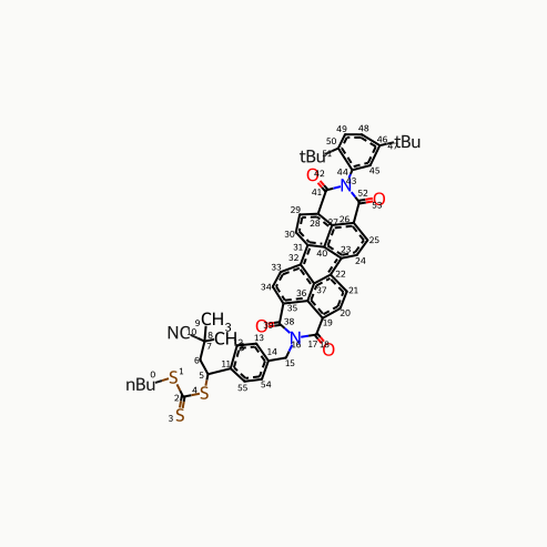 CCCCSC(=S)SC(CC(C)(C)C#N)c1ccc(CN2C(=O)c3ccc4c5ccc6c7c(ccc(c8ccc(c3c48)C2=O)c75)C(=O)N(c2cc(C(C)(C)C)ccc2C(C)(C)C)C6=O)cc1